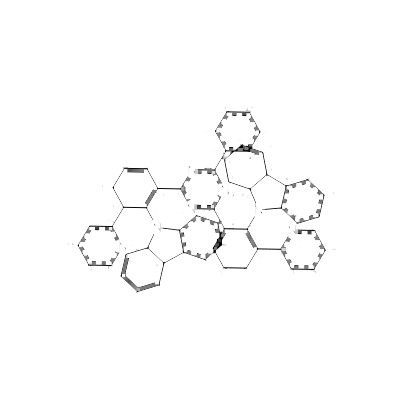 C1=C=CC2C(C=1)c1ccccc1N2C1=C(c2nc(C3=CCCC(c4ccccn4)=C3N3c4ccccc4C4C=CCCC43)nc(-c3ccccc3)n2)C=CCC1c1ccccn1